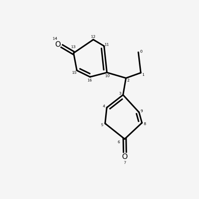 CCC(C1=CCC(=O)C=C1)C1=CCC(=O)C=C1